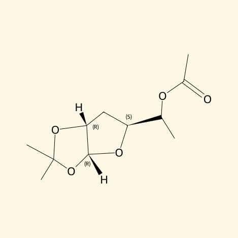 CC(=O)OC(C)[C@@H]1C[C@H]2OC(C)(C)O[C@H]2O1